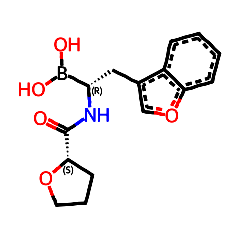 O=C(N[C@@H](Cc1coc2ccccc12)B(O)O)[C@@H]1CCCO1